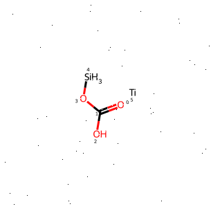 O=C(O)O[SiH3].[Ti]